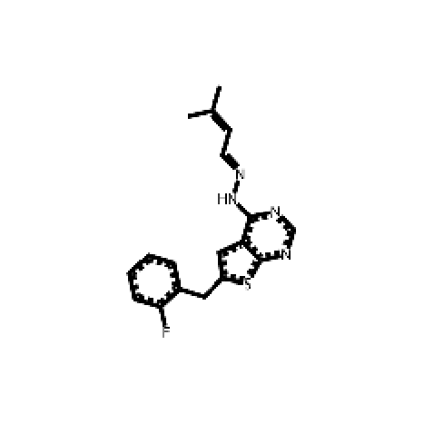 CC(C)=CC=NNc1ncnc2sc(Cc3ccccc3F)cc12